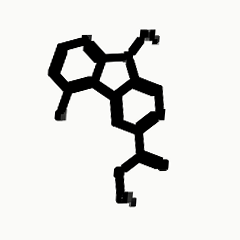 COC(=O)c1cc2c3c(Cl)ccnc3n(P)c2cn1